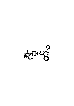 Cc1nnc(C(C)C)n1N1CCN(CCC(NC(=O)C2CCCC2)c2ccccc2)CC1